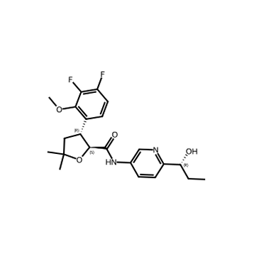 CC[C@@H](O)c1ccc(NC(=O)[C@H]2OC(C)(C)C[C@@H]2c2ccc(F)c(F)c2OC)cn1